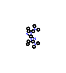 N#CC1=C(n2c3ccc(N(c4ccccc4)c4ccccc4)cc3c3c4ccccc4ccc32)CC(C#N)C(n2c3ccc(N(c4ccccc4)c4ccccc4)cc3c3c4ccccc4ccc32)=C1